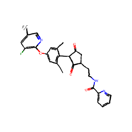 Cc1cc(Oc2ncc(C(F)(F)F)cc2F)cc(C)c1C1C(=O)CC(CCNC(=O)c2ccccn2)C1=O